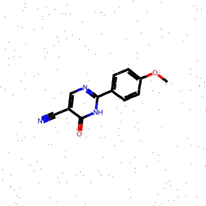 COc1ccc(-c2ncc(C#N)c(=O)[nH]2)cc1